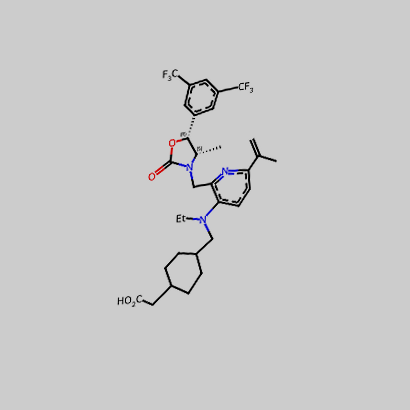 C=C(C)c1ccc(N(CC)CC2CCC(CC(=O)O)CC2)c(CN2C(=O)O[C@H](c3cc(C(F)(F)F)cc(C(F)(F)F)c3)[C@@H]2C)n1